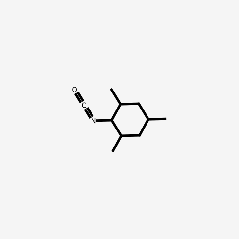 CC1CC(C)C(N=C=O)C(C)C1